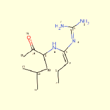 CC/C=C(/N=C(N)N)NC(CC(C)C)C(C)=O